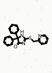 O=C1N=C(SCc2ccccn2)NC1(c1ccccc1)c1ccccc1